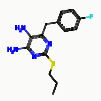 CCCSc1nc(N)c(N)c(Cc2ccc(F)cc2)n1